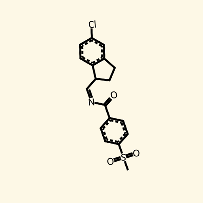 CS(=O)(=O)c1ccc(C(=O)/N=C\C2CCc3cc(Cl)ccc32)cc1